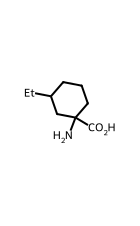 CCC1CCCC(N)(C(=O)O)C1